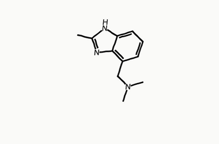 Cc1nc2c(CN(C)C)cccc2[nH]1